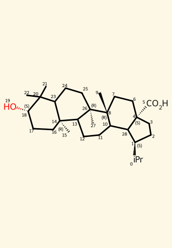 CC(C)[C@@H]1CC[C@]2(C(=O)O)CC[C@]3(C)C(CCC4[C@@]5(C)CC[C@H](O)C(C)(C)C5CC[C@]43C)C12